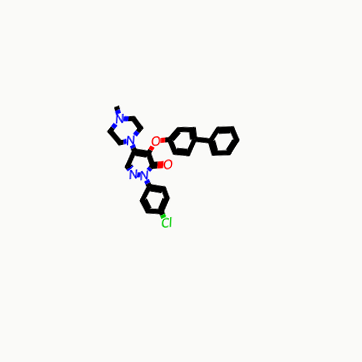 CN1CCN(c2cnn(-c3ccc(Cl)cc3)c(=O)c2Oc2ccc(-c3ccccc3)cc2)CC1